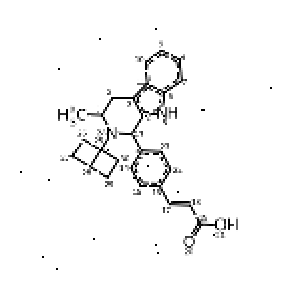 CC1Cc2c([nH]c3ccccc23)C(c2ccc(/C=C/C(=O)O)cc2)N1C12CCC1CC2